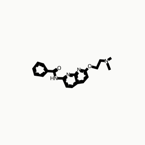 CN(C)CCOc1ccc2ccc(NC(=O)c3ccccc3)nc2n1